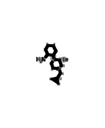 NC1CCCCC1N1CCN(CC2CC2)CC1.[Fe]